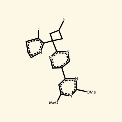 COc1cc(-c2cnc(C3(c4ncccc4F)CC(F)C3)nc2)nc(OC)n1